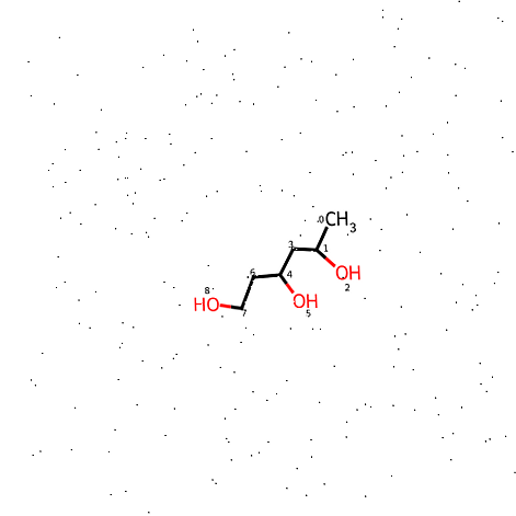 CC(O)CC(O)[CH]CO